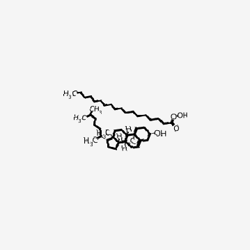 CC(C)CCCC(C)[C@H]1CC[C@H]2[C@@H]3CC=C4C[C@@H](O)CC[C@]4(C)[C@H]3CC[C@]12C.CCCCCCCCCCCCCCCCCC(=O)OO